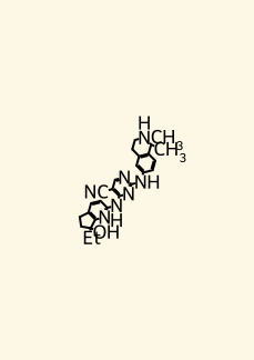 CCC1(O)CCc2ccc(Nc3nc(Nc4ccc5c(c4)CCNC5(C)C)ncc3C#N)nc21